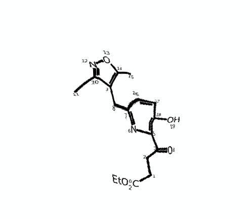 CCOC(=O)CCC(=O)c1nc(Cc2c(C)noc2C)ccc1O